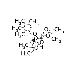 CCC1(CC)O[C@H]2O[C@H]([C@H]3COC(CC)(CC)O3)[C@H](OCc3cc(C)c(C)c(C)c3C)[C@H]2O1